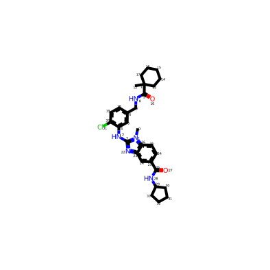 Cn1c(Nc2cc(CNC(=O)C3(C)CCCCC3)ccc2Cl)nc2cc(C(=O)NC3CCCC3)ccc21